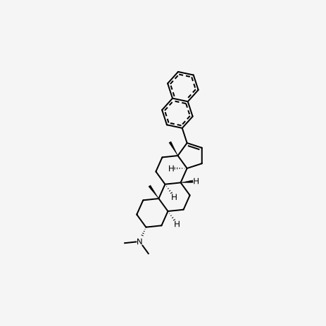 CN(C)[C@@H]1CC[C@@]2(C)[C@@H](CC[C@@H]3[C@@H]2CC[C@]2(C)C(c4ccc5ccccc5c4)=CC[C@@H]32)C1